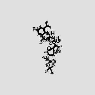 CC(C)c1cc(F)cc(C(C)C)c1NC(=O)NS(=O)(=O)c1cnn2c1OC[C@H](N(C)C(=O)OC(C)(C)C)C2